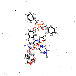 CC(C)CN(C[C@@H](O)[C@H](Cc1ccc(OCP(=O)(OCc2ccccc2)OCc2ccccc2)cc1)NC(=O)O[C@H]1CO[C@H]2OCC[C@H]21)S(=O)(=O)N1CCN(C)CC1